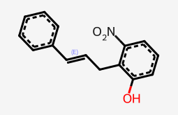 O=[N+]([O-])c1cccc(O)c1C/C=C/c1ccccc1